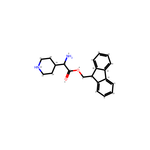 NC(C(=O)OCC1c2ccccc2-c2ccccc21)C1CCNCC1